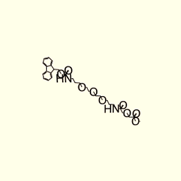 COC(=O)COCC(=O)NCCCOCCOCCOCCCNC(=O)OCC1c2ccccc2-c2ccccc21